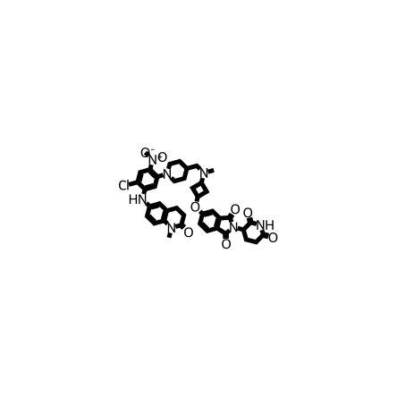 CN1C(=O)CCc2cc(Nc3cc(N4CCC(CN(C)C5CC(Oc6ccc7c(c6)C(=O)N(C6CCC(=O)NC6=O)C7=O)C5)CC4)c([N+](=O)[O-])cc3Cl)ccc21